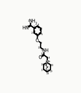 N=C(N)c1cccc(OCCNC(=O)C[N+]23CCC(CC2)CC3)c1